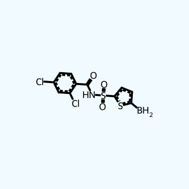 Bc1ccc(S(=O)(=O)NC(=O)c2ccc(Cl)cc2Cl)s1